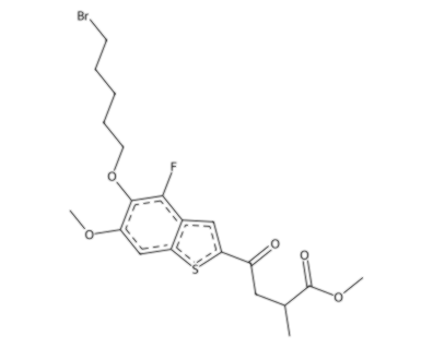 COC(=O)C(C)CC(=O)c1cc2c(F)c(OCCCCCBr)c(OC)cc2s1